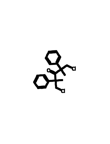 CC(CCl)(C(=O)C(C)(CCl)c1ccccc1)c1ccccc1